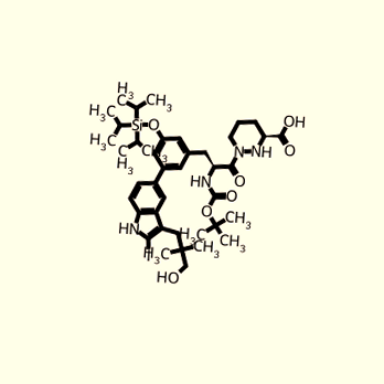 CC(C)[Si](Oc1cc(C[C@H](NC(=O)OC(C)(C)C)C(=O)N2CCC[C@@H](C(=O)O)N2)cc(-c2ccc3[nH]c(I)c(CC(C)(C)CO)c3c2)c1)(C(C)C)C(C)C